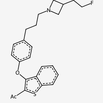 CC(=O)c1sc2ccccc2c1Oc1ccc(CCCN2CC(CCF)C2)cc1